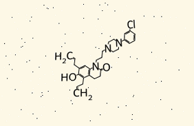 C=CCc1cc2c(c(CC=C)c1O)CCC(=O)N2CCCN1CCN(c2cccc(Cl)c2)CC1